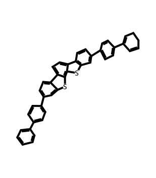 C1=CC(c2ccc(-c3ccc4c(c3)sc3c4ccc4c5ccc(-c6ccc(-c7ccccc7)cc6)cc5sc43)cc2)=CCC1